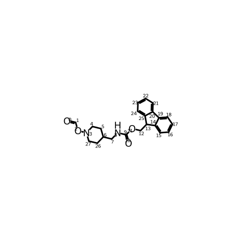 O=CON1CCC(CNC(=O)OCC2c3ccccc3-c3ccccc32)CC1